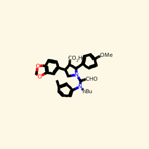 CCCCN(c1cccc(C)c1)C(C=O)N1CC(c2ccc3c(c2)OCO3)C(C(=O)O)C1c1ccc(OC)cc1